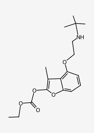 CCOC(=O)Oc1oc2cccc(OCCNC(C)(C)C)c2c1C